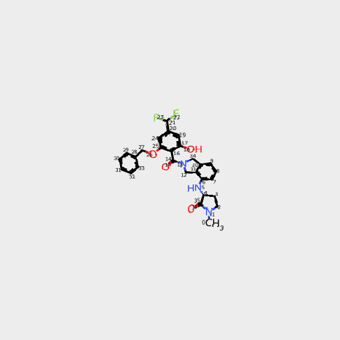 CN1CC[C@H](Nc2cccc3c2CN(C(=O)c2c(O)cc(C(F)F)cc2OCc2ccccc2)C3)C1=O